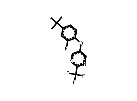 CC(C)(C)c1ccc(Oc2cnc(C(F)(F)F)nc2)c(F)c1